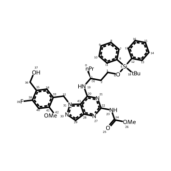 CCC[C@@H](CCO[Si](c1ccccc1)(c1ccccc1)C(C)(C)C)Nc1nc(NC(=O)OC)nc2cnn(Cc3cc(CO)c(F)cc3OC)c12